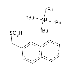 CCCC[N+](CCCC)(CCCC)CCCC.O=S(=O)(O)Cc1ccc2ccccc2c1